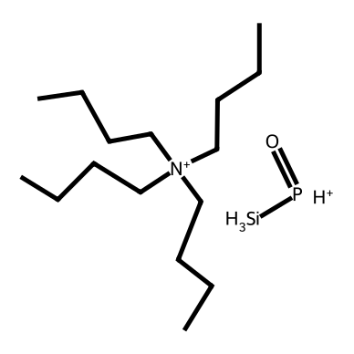 CCCC[N+](CCCC)(CCCC)CCCC.O=P[SiH3].[H+]